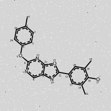 Cc1ccc(Oc2ncc3nc(-c4cc(C)c([O])c(C)c4)oc3n2)cc1